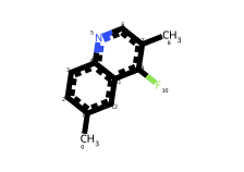 Cc1ccc2ncc(C)c(F)c2c1